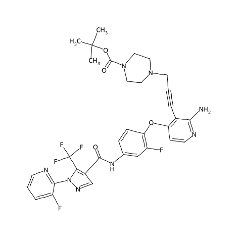 CC(C)(C)OC(=O)N1CCN(CC#Cc2c(Oc3ccc(NC(=O)c4cnn(-c5ncccc5F)c4C(F)(F)F)cc3F)ccnc2N)CC1